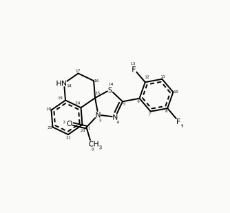 CC(=O)N1N=C(c2cc(F)ccc2F)SC12CCNc1ccccc12